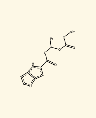 CCCOC(=O)OC(OC(=O)c1cc2occc2[nH]1)C(C)C